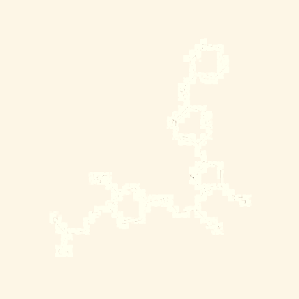 Cc1cc(OCC(C)c2nc(-c3ccc(Oc4ccccc4)nc3)sc2C)ccc1CCC(=O)O